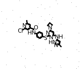 Cc1cc(Nc2cc(N3CCC3)nc(Sc3ccc(NC(=O)c4cc(C)nc(Cl)c4)cc3)n2)[nH]n1